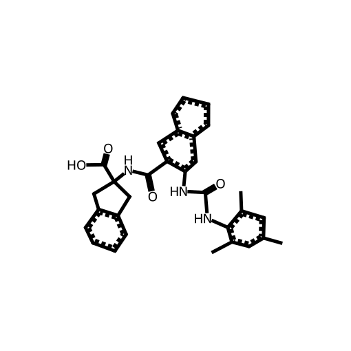 Cc1cc(C)c(NC(=O)Nc2cc3ccccc3cc2C(=O)NC2(C(=O)O)Cc3ccccc3C2)c(C)c1